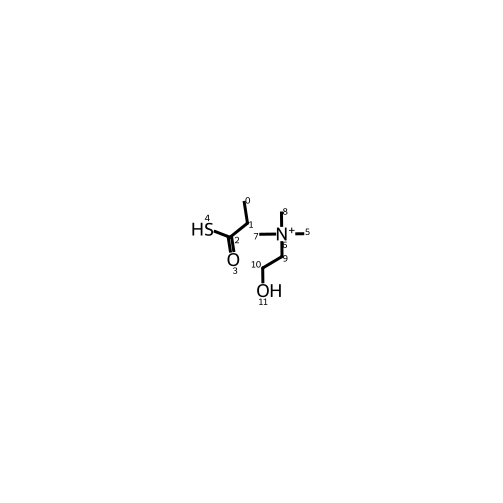 CCC(=O)S.C[N+](C)(C)CCO